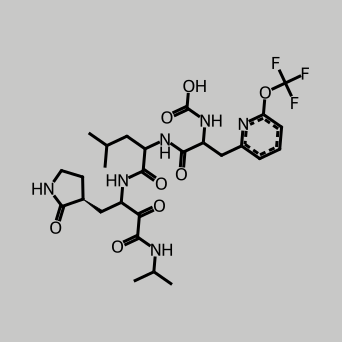 CC(C)CC(NC(=O)C(Cc1cccc(OC(F)(F)F)n1)NC(=O)O)C(=O)NC(C[C@@H]1CCNC1=O)C(=O)C(=O)NC(C)C